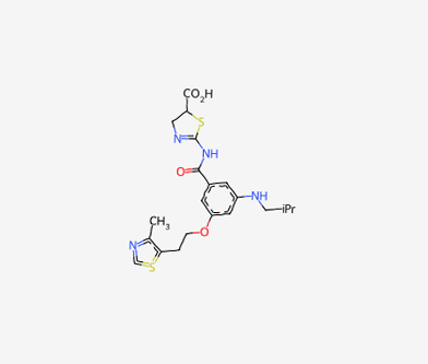 Cc1ncsc1CCOc1cc(NCC(C)C)cc(C(=O)NC2=NCC(C(=O)O)S2)c1